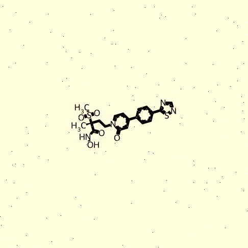 C[C@@](CCn1ccc(-c2ccc(-c3ncns3)cc2)cc1=O)(C(=O)NO)S(C)(=O)=O